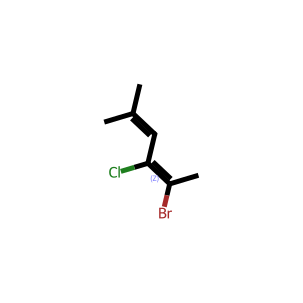 CC(C)=C/C(Cl)=C(\C)Br